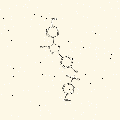 COc1ccc(C2CC(c3ccc(NS(=O)(=O)c4ccc(NC(C)=O)cc4)cc3)=NN2C(C)=O)cc1